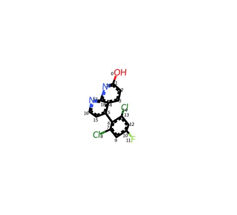 Oc1ccc2c(-c3c(Cl)cc(F)cc3Cl)ccnc2n1